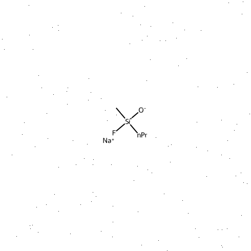 CCC[Si](C)([O-])F.[Na+]